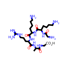 CC(NC(=O)C(CCCNC(=N)N)NC(=O)C(CCCCN)NC(=O)C(CCCCN)NC(=O)CN)C(=O)NCC(=O)O